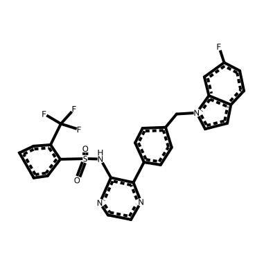 O=S(=O)(Nc1nccnc1-c1ccc(Cn2ccc3ccc(F)cc32)cc1)c1ccccc1C(F)(F)F